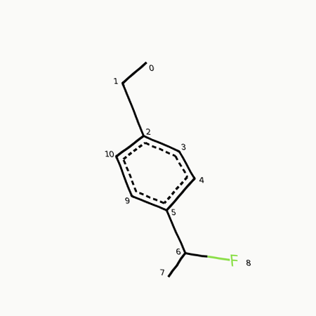 CCc1ccc(C(C)F)cc1